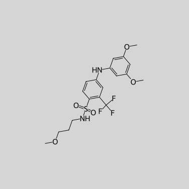 COCCCNS(=O)(=O)c1ccc(Nc2cc(OC)cc(OC)c2)cc1C(F)(F)F